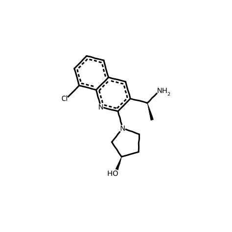 C[C@H](N)c1cc2cccc(Cl)c2nc1N1CC[C@@H](O)C1